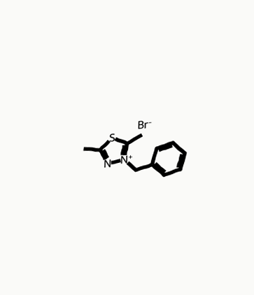 Cc1n[n+](Cc2ccccc2)c(C)s1.[Br-]